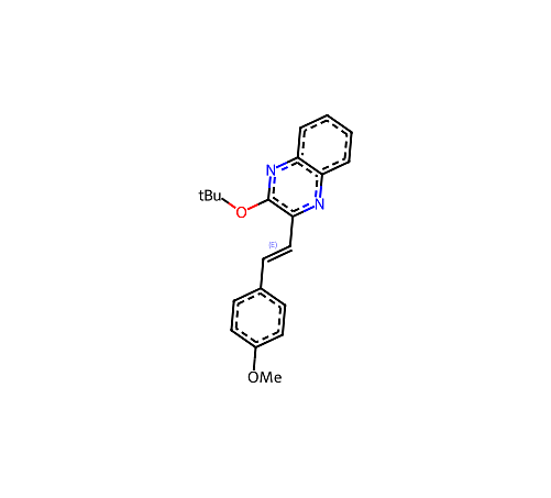 COc1ccc(/C=C/c2nc3ccccc3nc2OC(C)(C)C)cc1